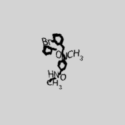 CCCNC(=O)c1ccc(N(C)C(Cc2cccc(Br)c2)OCc2ccccc2)cc1